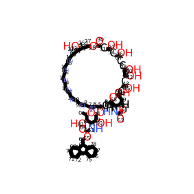 CC1OC(O[C@H]2/C=C/C=C/C=C/C=C/C=C/C=C/C=C/[C@H](C)[C@@H](O)[C@@H](C)[C@H](C)OC(=O)C[C@H](O)C[C@H](O)CC[C@@H](O)[C@H](O)C[C@H](O)C[C@]3(O)C[C@@H]4OC(=O)N[C@H]4[C@H](C2)O3)C(O)C(NC(=O)OCC2c3ccccc3-c3ccccc32)C1O